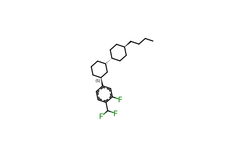 CCCC[C@H]1CC[C@H](C2CCC[C@H](c3ccc(C(F)F)c(F)c3)C2)CC1